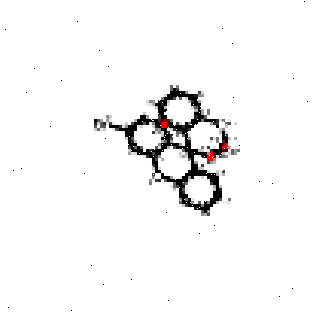 Brc1ccc2c(c1)Oc1ccccc1C21c2ccccc2Oc2ccccc21